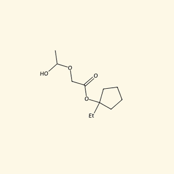 CCC1(OC(=O)COC(C)O)CCCC1